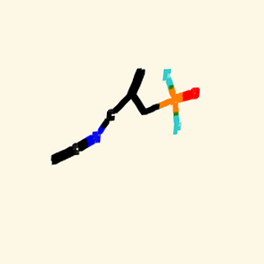 C=C=NCC(=C)CP(=O)(F)F